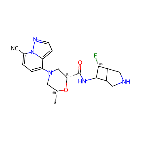 C[C@@H]1CN(c2ccc(C#N)n3nccc23)C[C@H](C(=O)NC2C3CNCC3[C@H]2F)O1